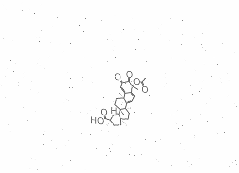 CC(=O)OC1(C)C(=O)C(=O)C=C2C1=CC=C1[C@@]2(C)CC[C@@]2(C)[C@@H]3C[C@](C)(C(=O)O)CC[C@]3(C)CC[C@]12C